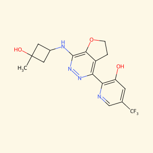 CC1(O)CC(Nc2nnc(-c3ncc(C(F)(F)F)cc3O)c3c2OCC3)C1